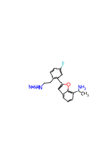 CC(N)c1cccc2cc(-c3cc(F)ccc3CCN=[N+]=[N-])oc12